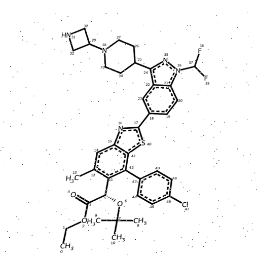 CCOC(=O)[C@@H](OC(C)(C)C)c1c(C)cc2nc(-c3ccc4c(c3)c(C3CCN(C5CNC5)CC3)nn4C(F)F)sc2c1-c1ccc(Cl)cc1